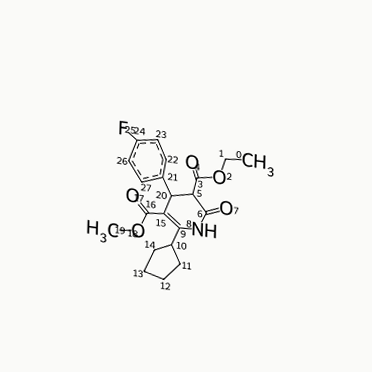 CCOC(=O)C1C(=O)NC(C2CCCC2)=C(C(=O)OC)C1c1ccc(F)cc1